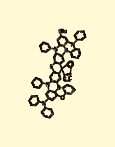 CC(C)(C)c1cc2c3c(c1)N(c1ccccc1)c1cc4c(cc1B3c1ccccc1N2c1ccccc1)C1(c2cc3c(cc2S4)N(c2ccccc2)c2cc(N(c4ccccc4)c4ccccc4)cc4c2B3c2ccccc2O4)c2ccccc2-c2ccccc21